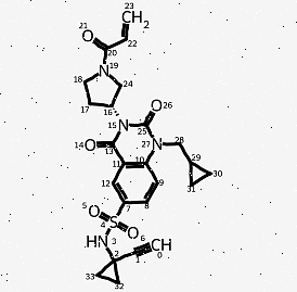 C#CC1(NS(=O)(=O)c2ccc3c(c2)c(=O)n([C@@H]2CCN(C(=O)C=C)C2)c(=O)n3CC2CC2)CC1